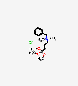 CO[Si](CCC[N+](C)(C)Cc1ccccc1)(OC)OC.[Cl-]